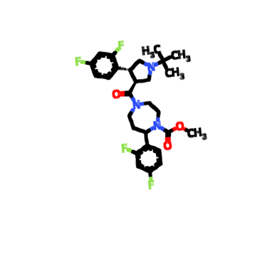 COC(=O)N1CCN(C(=O)[C@@H]2CN(C(C)(C)C)C[C@H]2c2ccc(F)cc2F)CCC1c1ccc(F)cc1F